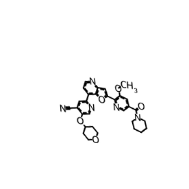 COc1cc(C(=O)N2CCCCC2)cnc1-c1cc2nccc(-c3cc(C#N)c(OC4CCOCC4)cn3)c2o1